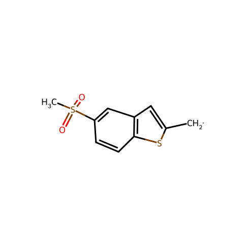 [CH2]c1cc2cc(S(C)(=O)=O)ccc2s1